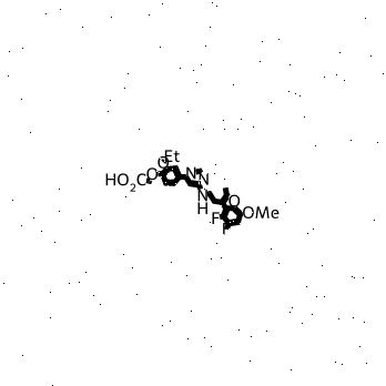 CCOc1cc(-c2cc(NCCc3c(C)oc4c(OC)cc(F)c(F)c34)ncn2)ccc1OCC(=O)O